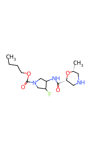 CCCCOC(=O)N1CC(F)C(NC(=O)[C@H]2CNC[C@@H](C)O2)C1